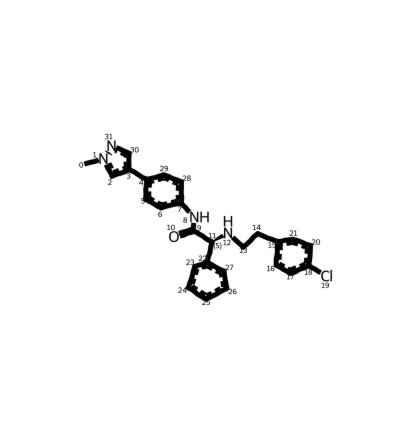 Cn1cc(-c2ccc(NC(=O)[C@@H](NCCc3ccc(Cl)cc3)c3ccccc3)cc2)cn1